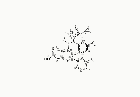 CCC(CN(C)S(=O)(=O)C1CC1)N1C(=O)[C@H](CC(=O)O)C[C@H](c2cccc(Cl)c2)[C@H]1c1ccc(Cl)cc1